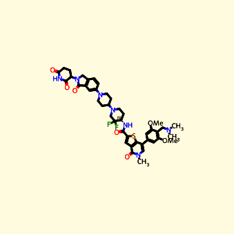 COc1cc(-c2cn(C)c(=O)c3cc(C(=O)N[C@H]4CCN(C5CCN(c6ccc7c(c6)C(=O)N(C6CCC(=O)NC6=O)C7)CC5)CC4(F)F)sc23)cc(OC)c1CN(C)C